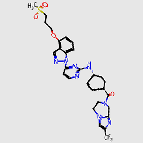 CS(=O)(=O)CCCOc1cccc2c1cnn2-c1ccnc(N[C@H]2CC[C@H](C(=O)N3CCn4cc(C(F)(F)F)nc4C3)CC2)n1